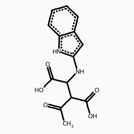 CC(=O)C(C(=O)O)C(Nc1cc2ccccc2[nH]1)C(=O)O